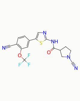 N#Cc1ccc(-c2cnc(NC(=O)C3CCN(C#N)C3)s2)cc1OC(F)(F)F